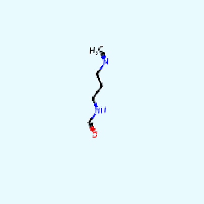 C=NCCCNC=O